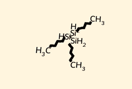 CCCCCC[SiH2][SiH](CCCCCC)[SiH2]CCCCCC